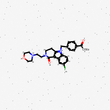 COC(=O)c1ccc(Cn2c3c(c4cc(F)ccc42)C(=O)N(CCN2CCOCC2)CC3)cc1